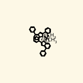 C[Si](C)=[Zr]([Cl])([Cl])([CH]1C(c2ccccc2)=Cc2c(-c3ccccc3)cccc21)[CH]1C(c2ccccc2)=Cc2c(-c3ccccc3)cccc21